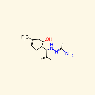 C=C(C)C(N/N=C(\C)N)C1CC=C(C(F)(F)F)CC1O